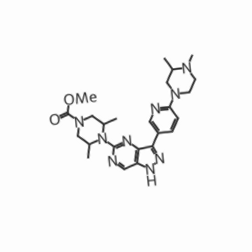 COC(=O)N1CC(C)N(c2ncc3[nH]nc(-c4ccc(N5CCN(C)C(C)C5)nc4)c3n2)C(C)C1